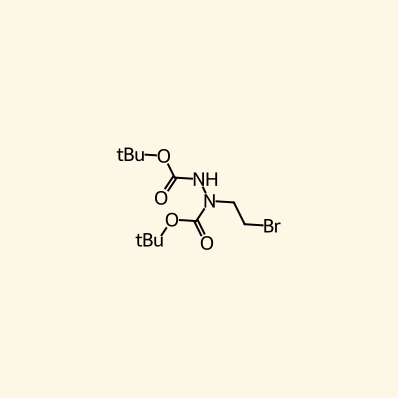 CC(C)(C)OC(=O)NN(CCBr)C(=O)OC(C)(C)C